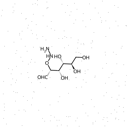 NNO[C@@H](C=O)[C@@H](O)[C@H](O)[C@H](O)CO